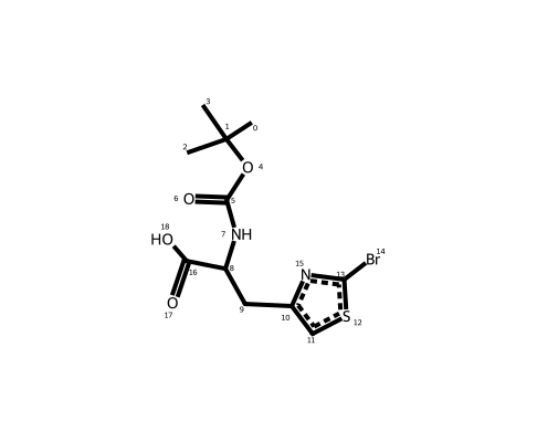 CC(C)(C)OC(=O)NC(Cc1csc(Br)n1)C(=O)O